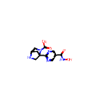 O=C(NO)c1cnc(C23CNC(CN2C(=O)O)C3)nc1